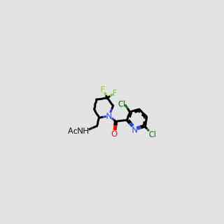 CC(=O)NCC1CCC(F)(F)CN1C(=O)c1nc(Cl)ccc1Cl